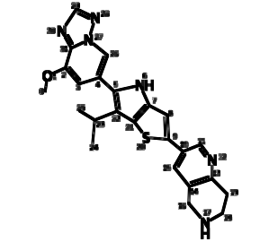 COc1cc(-c2[nH]c3cc(-c4cnc5c(c4)CNCC5)sc3c2C(C)C)cn2ncnc12